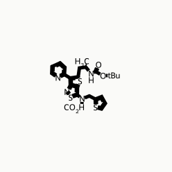 C[C@@H](Cc1sc2c(N(Cc3cccs3)C(=O)O)snc2c1-c1ccccn1)NC(=O)OC(C)(C)C